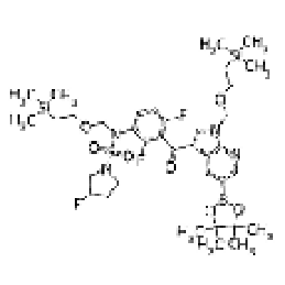 CC1(C)OB(c2cnc3c(c2)c(C(=O)c2c(F)ccc(N(COCC[Si](C)(C)C)S(=O)(=O)N4CCC(F)C4)c2F)cn3COCC[Si](C)(C)C)OC1(C)C